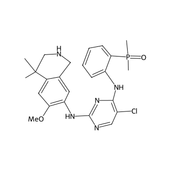 COc1cc2c(cc1Nc1ncc(Cl)c(Nc3ccccc3P(C)(C)=O)n1)CNCC2(C)C